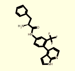 N[C@@H](Cc1ccccc1)C(=O)Nc1ccc(-c2ccnc3[nH]ccc23)c(C(F)(F)F)c1